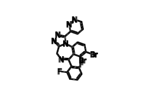 Fc1cccc(F)c1C1=NCc2nnc(-c3cccnn3)n2-c2ccc(Br)c(Br)c21